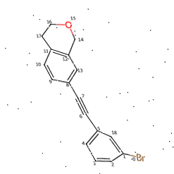 Brc1cccc(C#Cc2ccc3c(c2)COCC3)c1